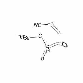 C=CC#N.CC(C)(C)O[SH](=O)=O